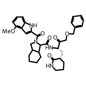 COc1cccc2[nH]c(C(=O)N3CC4CCCCC4C3C(=O)N[C@@H](C[C@@H]3CCCNC3=O)C(=O)COCc3ccccc3)cc12